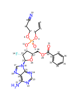 C=CCOP(=O)(OCCC#N)O[C@H]1[C@@H](F)[C@H](n2cnc3c(N)ncnc32)O[C@@H]1COC(=O)c1ccccc1